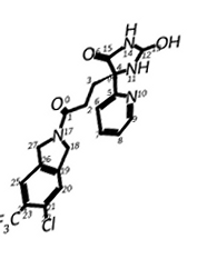 O=C(CC[C@]1(c2ccccn2)NC(O)NC1=O)N1Cc2cc(Cl)c(C(F)(F)F)cc2C1